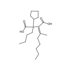 CCCCCC(C)=C(C(=O)O)C(CCCC)(C(=O)O)C1CCCC1